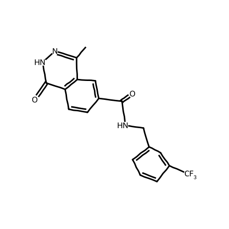 Cc1n[nH]c(=O)c2ccc(C(=O)NCc3cccc(C(F)(F)F)c3)cc12